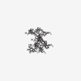 Cc1cn(C2CN(P(=O)(OCC3CN(P(=O)(OCC4CN(P(=O)(OCC5CN(P(=O)(OCC6CNCC(n7cnc8c(=O)[nH]c(N)nc87)O6)N(C)C)CC(n6cnc7c(N)ncnc76)O5)N(C)C)CC(n5cc(C)c(=O)[nH]c5=O)O4)N(C)C)CC(n4ccc(N)nc4=O)O3)N(C)C)CC(COP(C)(=O)N(C)C)O2)c(=O)[nH]c1=O